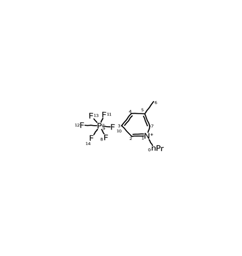 CCC[n+]1cccc(C)c1.F[P-](F)(F)(F)(F)F